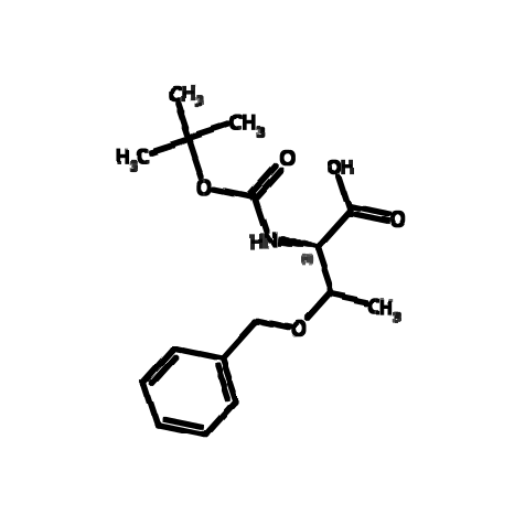 CC(OCc1ccccc1)[C@@H](NC(=O)OC(C)(C)C)C(=O)O